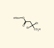 CCCCCCOC(=O)CC(CC)(CC)C(=O)O